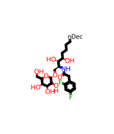 CCCCCCCCCCCCCC[C@@H](O)[C@@H](O)[C@H](CO[C@H]1OC(CO)[C@H](O)[C@H](O)C1O)NC(=O)Cc1ccc(F)cc1F